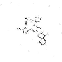 COc1ccccc1NC(=O)C(N=Nc1snc(C)c1C#N)c1nc2ccccc2c(=O)[nH]1